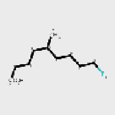 CC(CCCCF)CCCC(=O)O